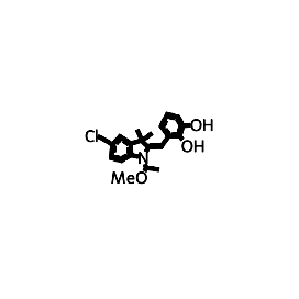 COC(C)N1/C(=C/c2cccc(O)c2O)C(C)(C)c2cc(Cl)ccc21